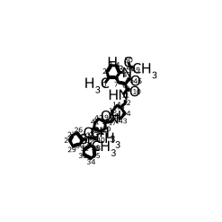 Cc1cccc2c1cc(C(=O)NCC1CCN(C[C@]3(O)CC[C@H](O[Si](c4ccccc4)(c4ccccc4)C(C)(C)C)CC3)CC1)c(=O)n2C(C)C